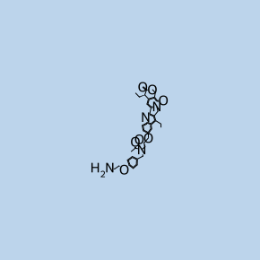 CCc1c2c(nc3ccc(OC(=O)CN(Cc4ccc(OCCN)cc4)C(C)=O)cc13)-c1cc3c(c(=O)n1C2)COC(=O)[C@@H]3CC